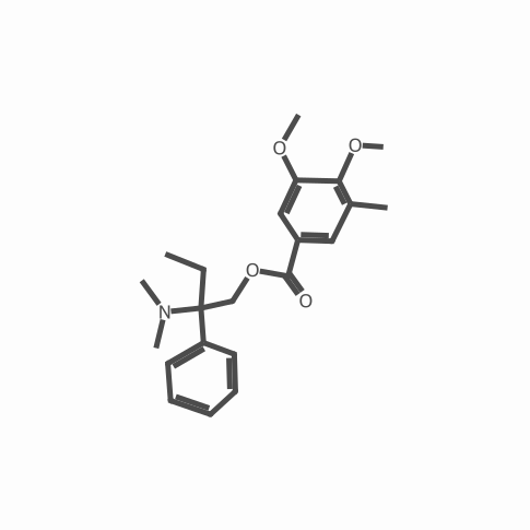 CCC(COC(=O)c1cc(C)c(OC)c(OC)c1)(c1ccccc1)N(C)C